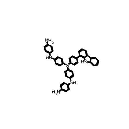 Nc1ccc(Nc2ccc(N(c3ccc(Nc4ccc(N)cc4)cc3)c3ccc(-c4cccc5c4[nH]c4ccccc45)cc3)cc2)cc1